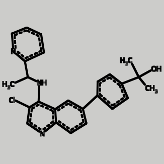 CC(Nc1c(Cl)cnc2ccc(-c3ccc(C(C)(C)O)cc3)cc12)c1ccccn1